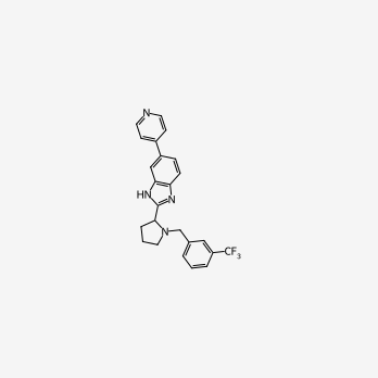 FC(F)(F)c1cccc(CN2CCCC2c2nc3ccc(-c4ccncc4)cc3[nH]2)c1